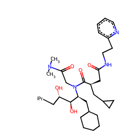 CC(C)C[C@H](O)[C@H](O)[C@H](CC1CCCCC1)N(CC(=O)N(C)C)C(=O)[C@@H](CC(=O)NCCc1ccccn1)CC1CC1